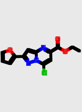 CCOC(=O)c1cc(Cl)n2nc(-c3ccco3)cc2n1